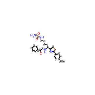 CC(C)(C)c1ccc(-c2nc(C(CCCCNS(N)(=O)=O)NCC(=O)c3ccccc3)cs2)cc1